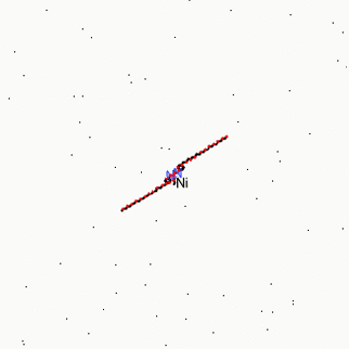 CCCCCCCCCCCCCCCCCCCCCc1ccc(/N=C(C)/C(CCCC)=N/c2ccc(CCCCCCCCCCCCCCCCCCCCC)cc2)cc1.[Ni]